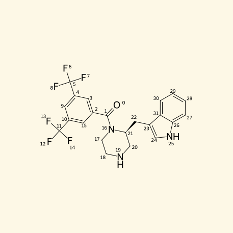 O=C(c1cc(C(F)(F)F)cc(C(F)(F)F)c1)N1CCNC[C@@H]1Cc1c[nH]c2ccccc12